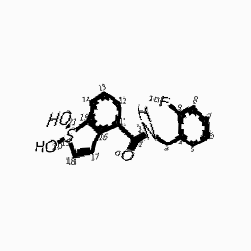 O=C(NCc1ccccc1F)c1cccc2c1C=CS2(O)O